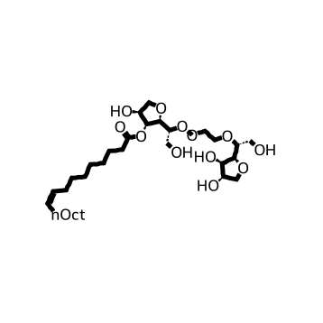 CCCCCCCC/C=C\CCCCCCCC(=O)O[C@H]1[C@@H]([C@@H](CO)OOCCO[C@H](CO)[C@H]2OC[C@H](O)[C@H]2O)OC[C@@H]1O